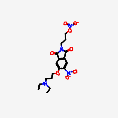 CCN(CC)CCCOc1cc2c(cc1[N+](=O)[O-])C(=O)N(CCCO[N+](=O)[O-])C2=O